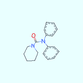 O=C(N1CCCCC1)N(c1ccccc1)c1ccccc1